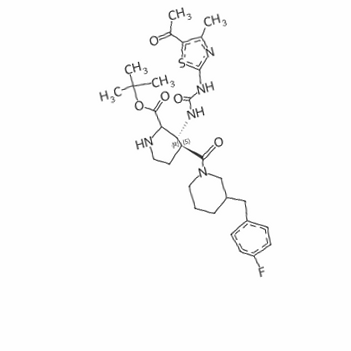 CC(=O)c1sc(NC(=O)N[C@H]2C(C(=O)OC(C)(C)C)NCC[C@@H]2C(=O)N2CCCC(Cc3ccc(F)cc3)C2)nc1C